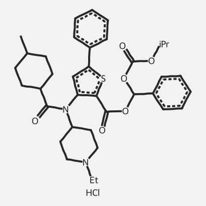 CCN1CCC(N(C(=O)C2CCC(C)CC2)c2cc(-c3ccccc3)sc2C(=O)OC(OC(=O)OC(C)C)c2ccccc2)CC1.Cl